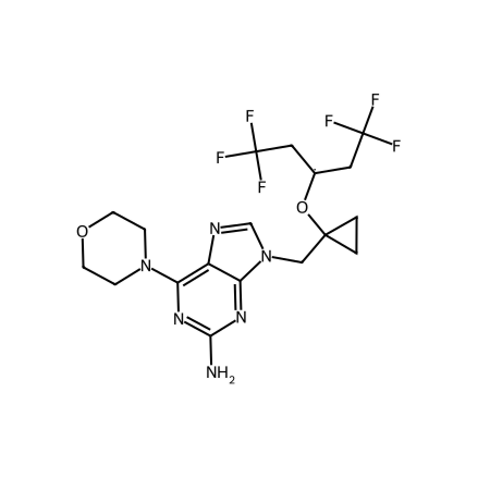 Nc1nc(N2CCOCC2)c2ncn(CC3(O[C](CC(F)(F)F)CC(F)(F)F)CC3)c2n1